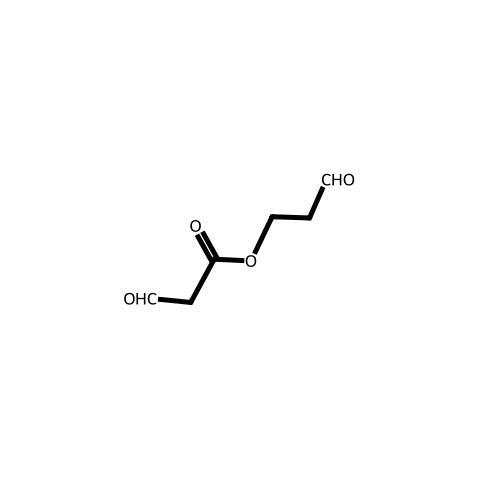 O=CCCOC(=O)CC=O